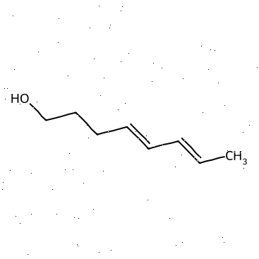 CC=CC=CCCCO